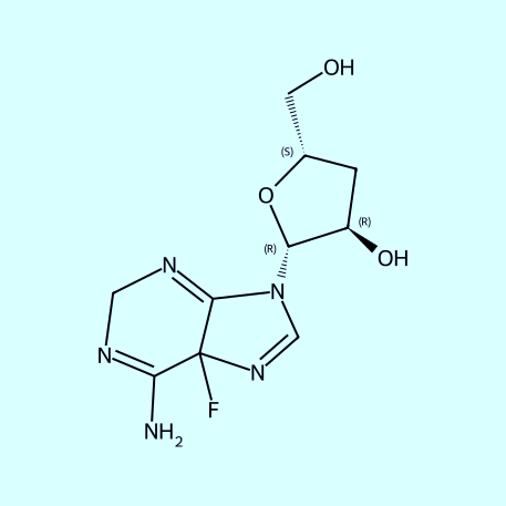 NC1=NCN=C2N([C@@H]3O[C@H](CO)C[C@H]3O)C=NC12F